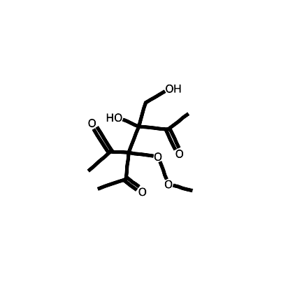 COOC(C(C)=O)(C(C)=O)C(O)(CO)C(C)=O